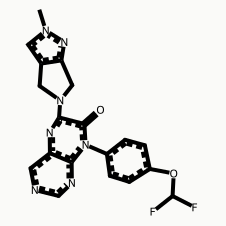 Cn1cc2c(n1)CN(c1nc3cncnc3n(-c3ccc(OC(F)F)cc3)c1=O)C2